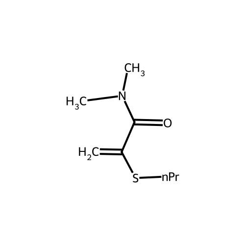 C=C(SCCC)C(=O)N(C)C